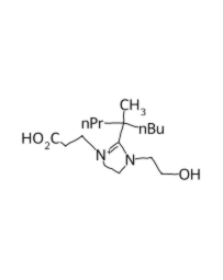 CCCCC(C)(CCC)C1=[N+](CCC(=O)O)CCN1CCO